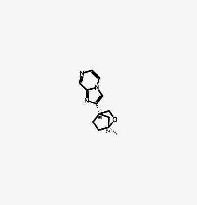 C[C@@]12CC[C@@](c3cn4ccncc4n3)(CO1)C2